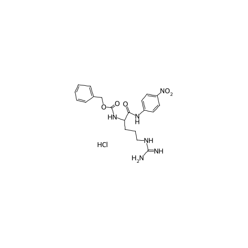 Cl.N=C(N)NCCCC(NC(=O)OCc1ccccc1)C(=O)Nc1ccc([N+](=O)[O-])cc1